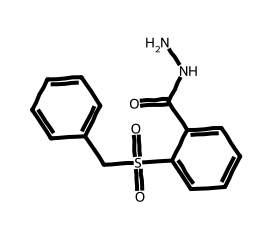 NNC(=O)c1ccccc1S(=O)(=O)Cc1ccccc1